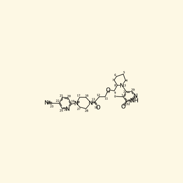 Cc1c(N2CCCCC2COCCC(=O)N2CCN(c3ccc(C#N)cn3)CC2)cn[nH]c1=O